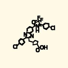 O=C(N[C@H](c1ccc(Cl)cc1)C(F)(F)F)c1ccc2nc(-c3ccc(Cl)cc3)c(CC3CCC(C(=O)O)C3)nc2c1